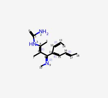 C=C(N)N/C(C)=C(C)/C(=N\C)C(/C=C\C)=C/C=C/C